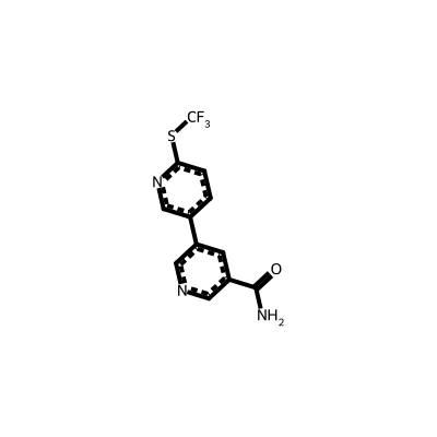 NC(=O)c1cncc(-c2ccc(SC(F)(F)F)nc2)c1